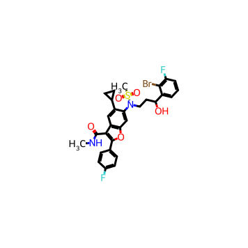 CNC(=O)c1c(-c2ccc(F)cc2)oc2cc(N(CCC(O)c3cccc(F)c3Br)S(C)(=O)=O)c(C3CC3)cc12